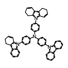 C1=Cc2c(c3c(n2-c2ccc(N(c4ccc(-n5c6c(c7ccccc75)CCC=C6)cc4)c4ccc(-n5c6ccccc6c6ccccc65)cc4)cc2)CCC=C3)CC1